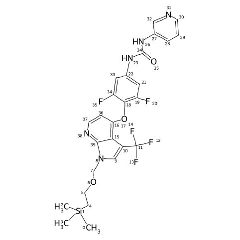 C[Si](C)(C)CCOCn1cc(C(F)(F)F)c2c(Oc3c(F)cc(NC(=O)Nc4cccnc4)cc3F)ccnc21